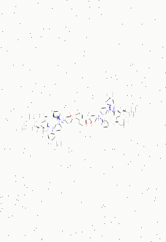 Cc1ccc2c(c1)c1ccc(N(c3ccccc3)c3ccc4c(c3)oc3ccc5c(ccc6oc7cc(N(c8ccccc8)c8ccc9c%10cc(C)ccc%10n(-c%10cc(C(C)(C)C)cc(C(C)(C)C)c%10)c9c8)ccc7c65)c34)cc1n2-c1cc(C(C)(C)C)cc(C(C)(C)C)c1